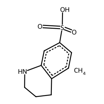 C.O=S(=O)(O)c1ccc2c(c1)NCCC2